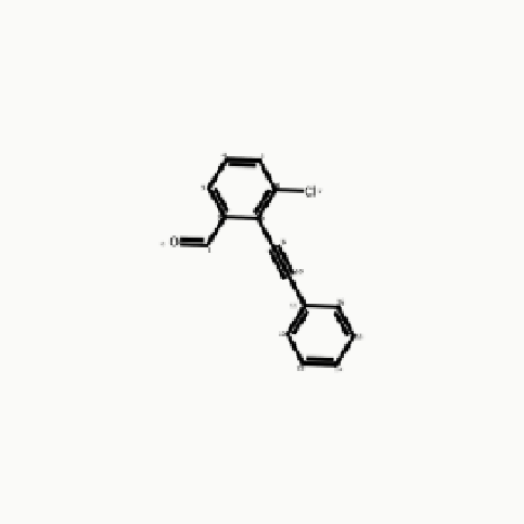 O=Cc1cccc(Cl)c1C#Cc1ccccc1